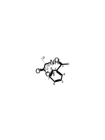 CC(=O)c1ccccc1.C[C@H](N)C(=O)O